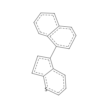 c1csc2ccc(-c3cccc4ccccc34)c-2c1